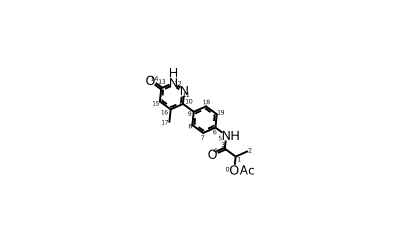 CC(=O)OC(C)C(=O)Nc1ccc(-c2n[nH]c(=O)cc2C)cc1